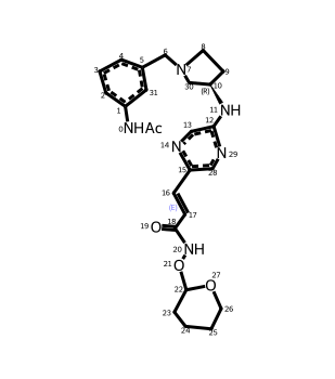 CC(=O)Nc1cccc(CN2CC[C@@H](Nc3cnc(/C=C/C(=O)NOC4CCCCO4)cn3)C2)c1